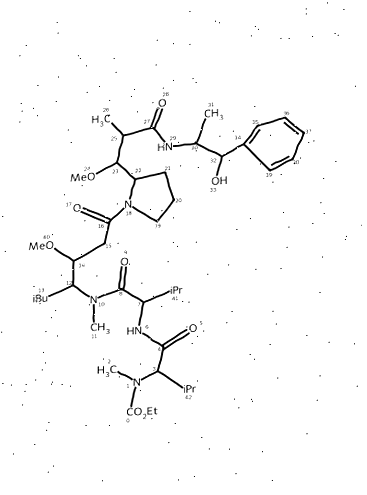 CCOC(=O)N(C)C(C(=O)NC(C(=O)N(C)C(C(C)CC)C(CC(=O)N1CCCC1C(OC)C(C)C(=O)NC(C)C(O)c1ccccc1)OC)C(C)C)C(C)C